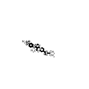 CC(=O)c1c(Nc2ccc(S(C)(=O)=O)cc2)ncnc1N1CCC(c2nc(C(C)C)no2)CC1